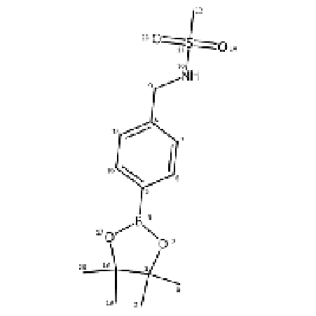 CC1(C)OB(c2ccc(CNS(C)(=O)=O)cc2)OC1(C)C